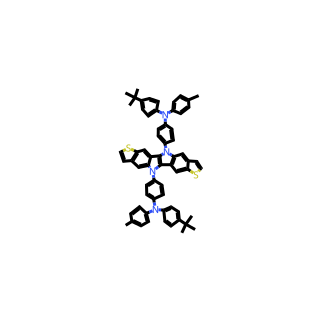 Cc1ccc(N(c2ccc(-n3c4cc5ccsc5cc4c4c3c3cc5sccc5cc3n4-c3ccc(N(c4ccc(C)cc4)c4ccc(C(C)(C)C)cc4)cc3)cc2)c2ccc(C(C)(C)C)cc2)cc1